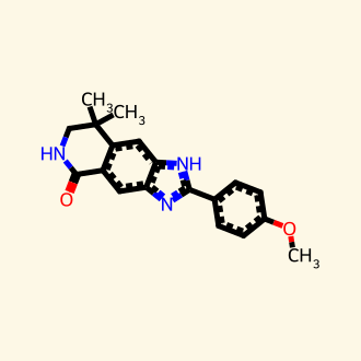 COc1ccc(-c2nc3cc4c(cc3[nH]2)C(C)(C)CNC4=O)cc1